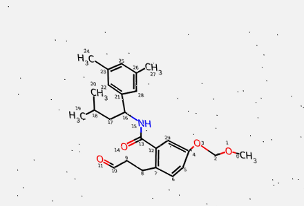 COCOc1ccc(CCC=O)c(C(=O)NC(CC(C)C)c2cc(C)cc(C)c2)c1